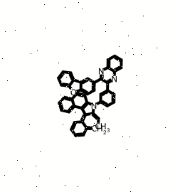 C=c1cccc/c1=c1/c(=C\C)n(-c2cccc(-c3nc4ccccc4nc3-c3ccc4oc5ccccc5c4c3)c2)c2ccc3ccccc3c12